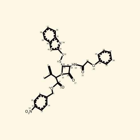 C=C(C)C(C(=O)OCc1ccc([N+](=O)[O-])cc1)N1C(=O)[C@@H](NC(=O)COc2ccccc2)[C@H]1SSc1nc2ccccc2s1